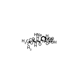 CC(C)(C)OC(=O)NNC(=O)[C@@H]1CC[C@@H]2CN1C(=O)N2OS(=O)(=O)O.[NaH]